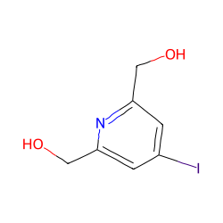 OCc1cc(I)cc(CO)n1